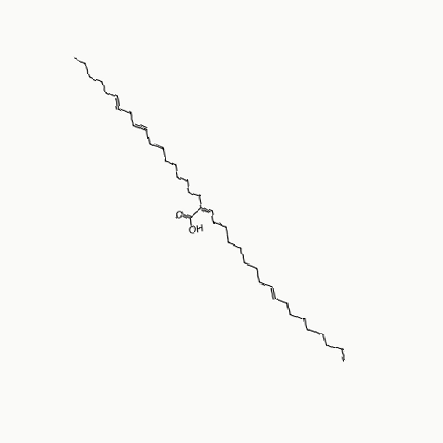 CCCCCC=CCC=CCCCCCCCCC(=CCCCCCCCC=CCCCCCCCC)C(=O)O